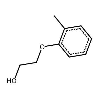 Cc1ccccc1OCCO